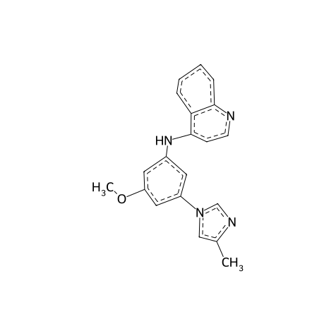 COc1cc(Nc2ccnc3ccccc23)cc(-n2cnc(C)c2)c1